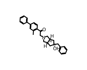 Cc1cc(-c2ccccc2)ccc1C(=O)CN1C[C@@H]2C[C@@](O)(Cc3ccccc3)C[C@@H]2C1